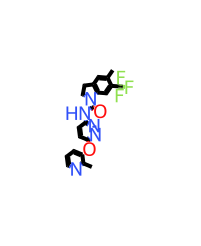 Cc1cc2c(cc1C(F)(F)F)N(C(=O)Nc1ccc(Oc3cccnc3C)nn1)CC2